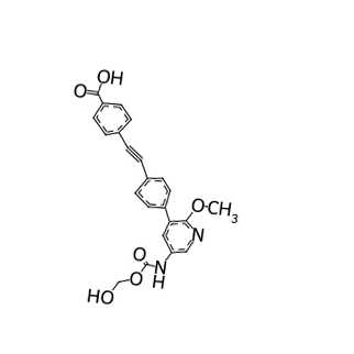 COc1ncc(NC(=O)OCO)cc1-c1ccc(C#Cc2ccc(C(=O)O)cc2)cc1